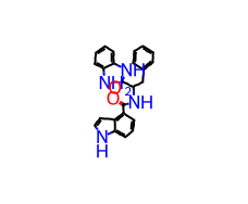 Nc1ccccc1NC(=O)C(Cc1ccccc1)NC(=O)c1cccc2[nH]ccc12